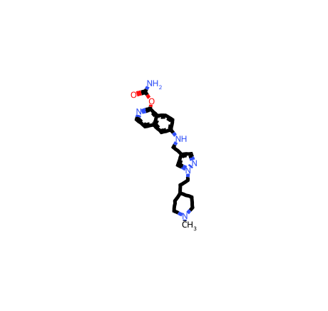 CN1CCC(CCn2cc(CNc3ccc4c(OC(N)=O)nccc4c3)cn2)CC1